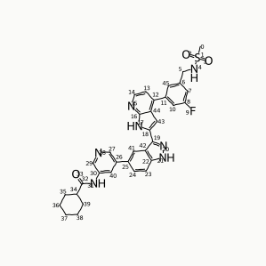 CS(=O)(=O)NCc1cc(F)cc(-c2ccnc3[nH]c(-c4n[nH]c5ccc(-c6cncc(NC(=O)C7CCCCC7)c6)cc45)cc23)c1